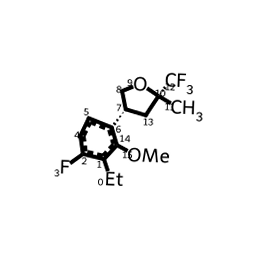 CCc1c(F)ccc([C@@H]2CO[C@](C)(C(F)(F)F)C2)c1OC